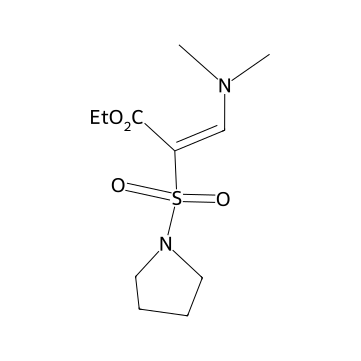 CCOC(=O)C(=CN(C)C)S(=O)(=O)N1CCCC1